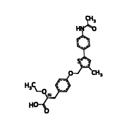 CCO[C@@H](Cc1ccc(OCc2sc(-c3ccc(NC(C)=O)cc3)cc2C)cc1)C(=O)O